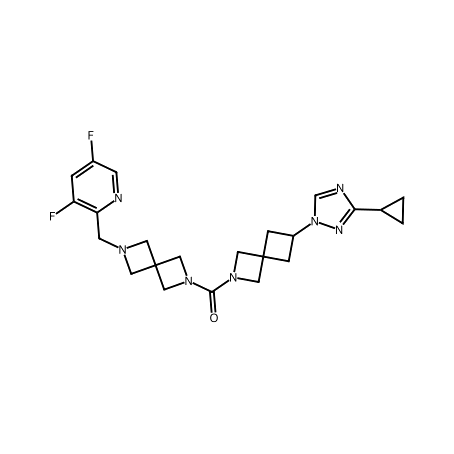 O=C(N1CC2(CC(n3cnc(C4CC4)n3)C2)C1)N1CC2(CN(Cc3ncc(F)cc3F)C2)C1